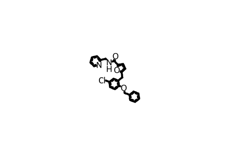 O=C(NCc1ccccn1)c1ccc(Cc2cc(Cl)ccc2OCc2ccccc2)o1